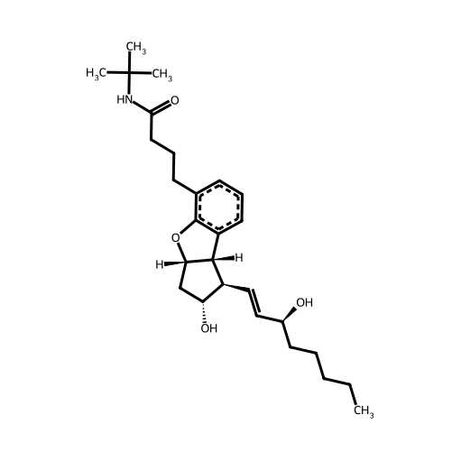 CCCCC[C@H](O)/C=C/[C@@H]1[C@H]2c3cccc(CCCC(=O)NC(C)(C)C)c3O[C@H]2C[C@H]1O